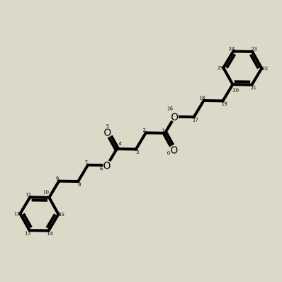 O=C(CCC(=O)OCCCc1ccccc1)OCCCc1ccccc1